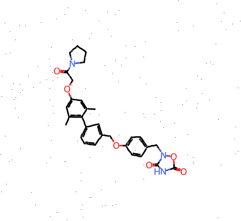 Cc1cc(OCC(=O)N2CCCC2)cc(C)c1-c1cccc(COc2ccc(Cn3oc(=O)[nH]c3=O)cc2)c1